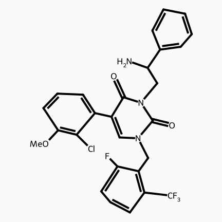 COc1cccc(-c2cn(Cc3c(F)cccc3C(F)(F)F)c(=O)n(CC(N)c3ccccc3)c2=O)c1Cl